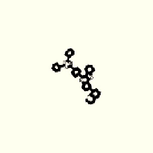 c1ccc(-c2nc(-c3ccccc3)nc(-c3ccc(-c4nc5ccc(-c6cccc7ccccc67)cc5c5oc6ccccc6c45)cc3)n2)cc1